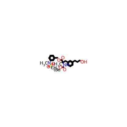 CN(c1cccc(COC(=O)C(C)(Cc2cccc(CCCO)c2)NC(=O)OC(C)(C)C)c1)S(C)(=O)=O